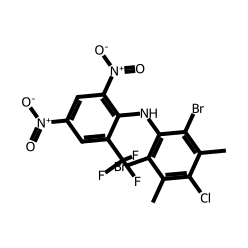 Cc1c(Cl)c(C)c(Br)c(Nc2c([N+](=O)[O-])cc([N+](=O)[O-])cc2C(F)(F)F)c1Br